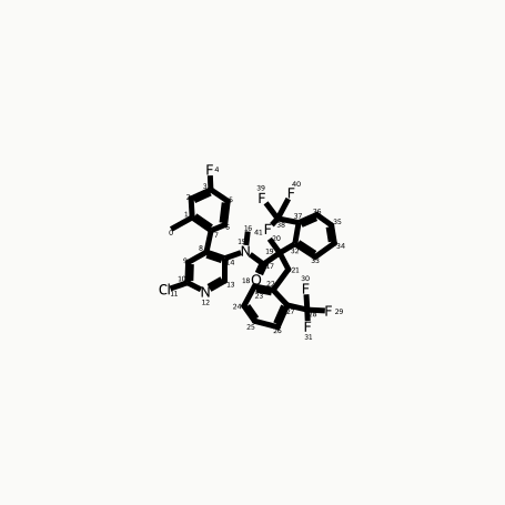 Cc1cc(F)ccc1-c1cc(Cl)ncc1N(C)C(=O)C(C)(Cc1ccccc1C(F)(F)F)c1ccccc1C(F)(F)F